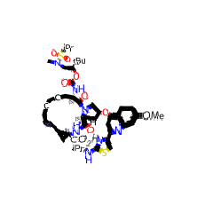 COc1ccc2c(O[C@@H]3C[C@H]4C(=O)N[C@]5(C(=O)O)CC5/C=C\CCCCC[C@H](NC(=O)O[C@H](CN(C)S(=O)(=O)C(C)C)C(C)(C)C)C(=O)N4C3)cc(-c3csc(NC(C)C)n3)nc2c1